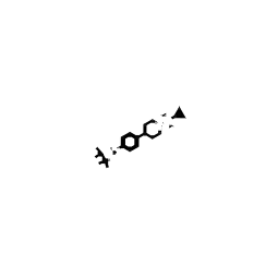 CC1(C)OB(c2ccc(C3CCN(S(=O)(=O)C4CC4)CC3)cc2)OC1(C)C